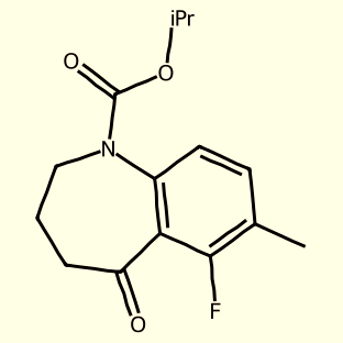 Cc1ccc2c(c1F)C(=O)CCCN2C(=O)OC(C)C